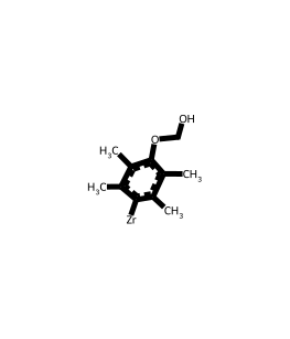 Cc1c(C)c(OCO)c(C)c(C)[c]1[Zr]